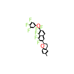 Cc1ccc2c(c1)CCC(c1cc3ccc(C(F)(F)Oc4cc(F)c(F)c(F)c4)c(F)c3c(F)c1F)O2